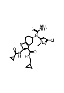 Cn1nc(Cl)cc1N(C(=S)NN)[C@H]1CCc2sc(NC(=O)C3CC3)c(C(=O)NCC3CC3)c2C1